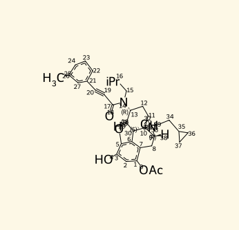 CC(=O)Oc1cc(O)c2c3c1C[C@@H]1[C@@H]4CC[C@@H](N(CC(C)C)C(=O)C#Cc5cccc(C)c5)[C@H](O2)[C@]34CCN1CC1CC1